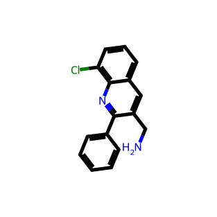 NCc1cc2cccc(Cl)c2nc1-c1ccccc1